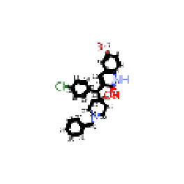 O=c1[nH]c2ccc(Br)cc2cc1C(c1ccc(Cl)cc1)C1(O)CCN(Cc2ccccc2)CC1